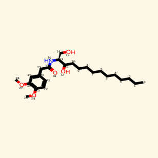 CCCCCCCCCCCC(O)[C@H](CO)NC(=O)Cc1ccc(OC)c(OC)c1